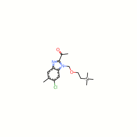 CC(=O)c1nc2cc(C)c(Cl)cc2n1COCC[Si](C)(C)C